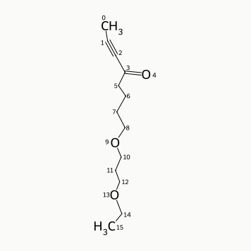 CC#CC(=O)CCCCOCCCOCC